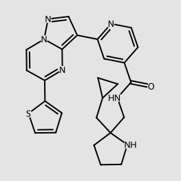 O=C(NCC1(CC2CC2)CCCN1)c1ccnc(-c2cnn3ccc(-c4cccs4)nc23)c1